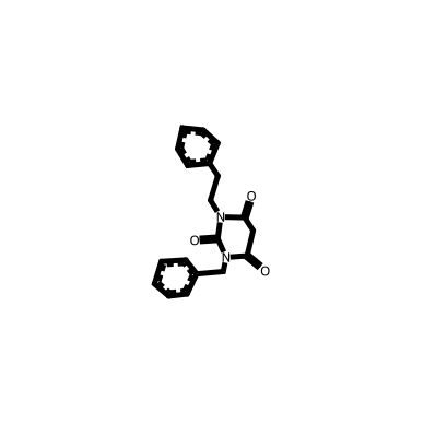 O=C1CC(=O)N(Cc2ccccc2)C(=O)N1CCc1ccccc1